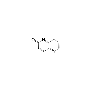 O=C1C=CC2=NC=CCC2=N1